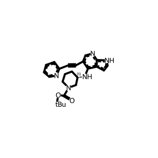 CC(C)(C)OC(=O)N1CCC[C@H](Nc2c(C#Cc3ccccn3)cnc3[nH]ccc23)C1